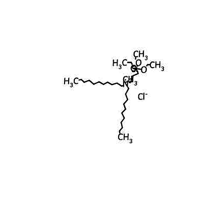 CCCCCCCCCCC[N+](C)(CCCCCCCCCCC)CCC[Si](OCC)(OCC)OCC.[Cl-]